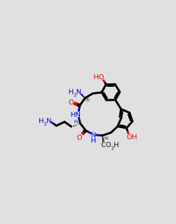 NCCC[C@@H]1NC(=O)[C@@H](N)Cc2cc(ccc2O)-c2ccc(O)c(c2)C[C@@H](C(=O)O)NC1=O